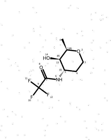 C[C@H]1O[CH]C[C@H](NC(=O)C(F)(F)F)[C@H]1O